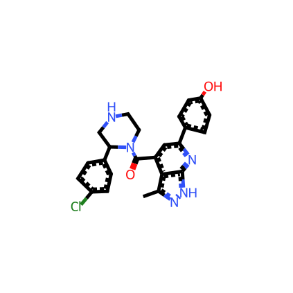 Cc1n[nH]c2nc(-c3ccc(O)cc3)cc(C(=O)N3CCNCC3c3ccc(Cl)cc3)c12